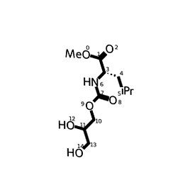 COC(=O)[C@H](CC(C)C)NC(=O)OCC(O)CO